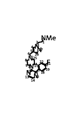 CNCCn1cc(CN2CCN(c3nccnc3-c3ccc(F)cc3)CC2)cn1